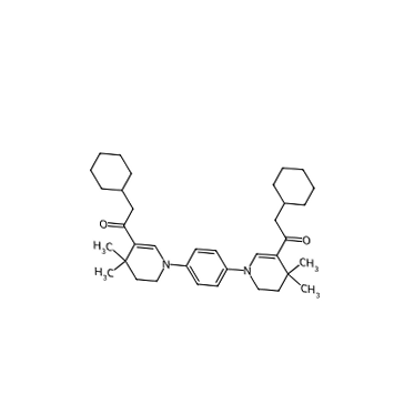 CC1(C)CCN(c2ccc(N3C=C(C(=O)CC4CCCCC4)C(C)(C)CC3)cc2)C=C1C(=O)CC1CCCCC1